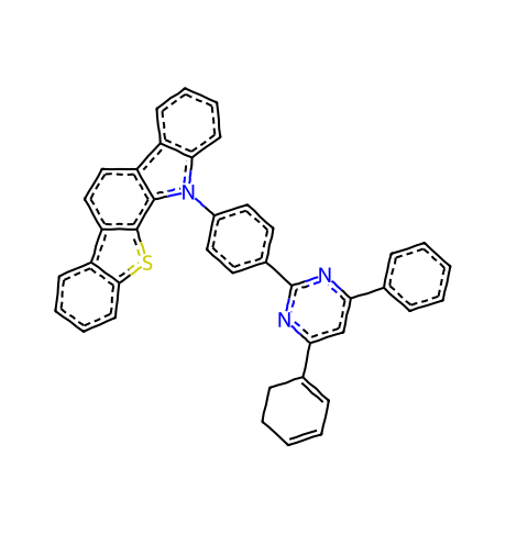 C1=CCCC(c2cc(-c3ccccc3)nc(-c3ccc(-n4c5ccccc5c5ccc6c7ccccc7sc6c54)cc3)n2)=C1